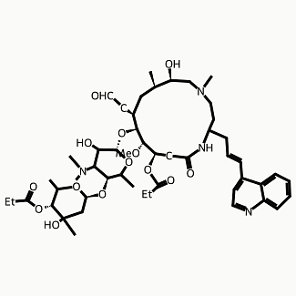 CCC(=O)O[C@@H]1C(C)O[C@@H](O[C@@H]2C(C)O[C@@H](O[C@H]3[C@@H](CC=O)C[C@@H](C)[C@@H](O)CN(C)CCC(C/C=C/c4ccnc5ccccc45)NC(=O)C[C@@H](OC(=O)CC)[C@@H]3OC)C(O)C2N(C)C)CC1(C)O